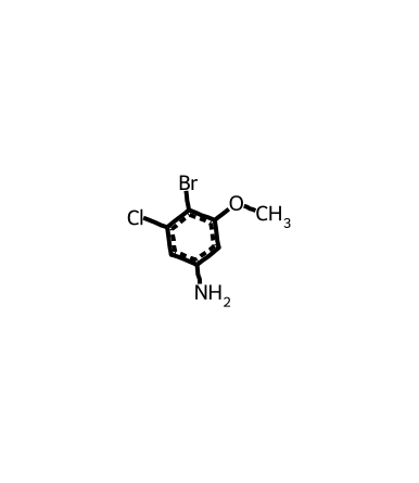 COc1cc(N)cc(Cl)c1Br